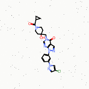 O=C(C1CC1)N1CCC(O)(Cn2cnc3c(cnn3-c3cccc(-n4cc(Cl)cn4)c3)c2=O)CC1